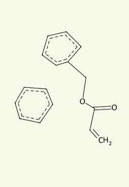 C=CC(=O)OCc1ccccc1.c1ccccc1